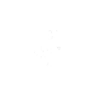 COc1ccc(C2Nc3ccccc3C(=O)N2CCc2ccccc2)cc1COc1ccc(NC(C)=O)cc1